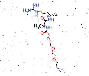 CC(=O)[C@H](CCCNC(=N)N)NC(=O)[C@H](C)NC(=O)COCCOCCOCCN